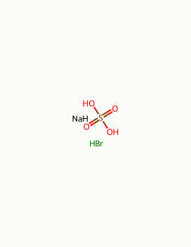 Br.O=S(=O)(O)O.[NaH]